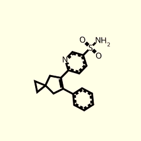 NS(=O)(=O)c1ccc(C2=C(c3ccccc3)CC3(CC3)C2)nc1